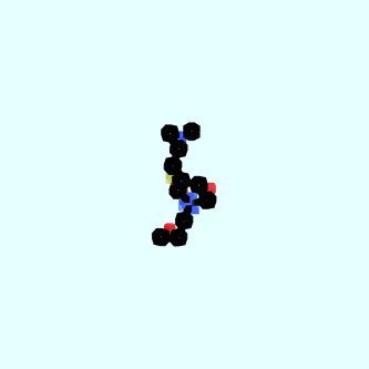 c1ccc(-c2nc(-c3ccc(-c4cccc5c4oc4ccccc45)cc3)nc(-c3cccc4oc5ccc(-c6ccc7sc8ccc(-c9ccc%10c(c9)c9ccccc9n%10-c9ccccc9)cc8c7c6)cc5c34)n2)cc1